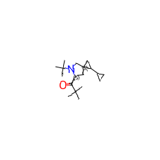 CC(C)(C)C(=O)[C@@H]1C[C@]2(CC2C2CC2)CN1C(C)(C)C